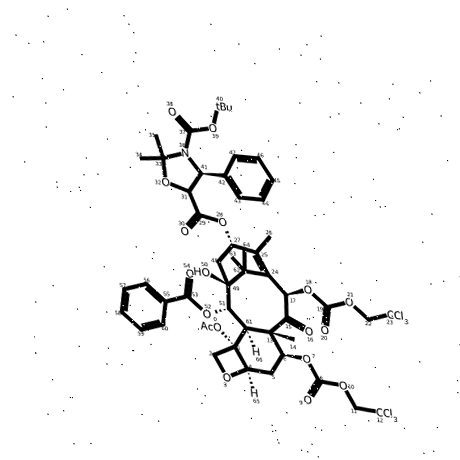 CC(=O)O[C@@]12CO[C@@H]1C[C@H](OC(=O)OCC(Cl)(Cl)Cl)[C@@]1(C)C(=O)[C@H](OC(=O)OCC(Cl)(Cl)Cl)C3=C(C)[C@@H](OC(=O)C4OC(C)(C)N(C(=O)OC(C)(C)C)[C@H]4c4ccccc4)C[C@@](O)([C@@H](OC(=O)c4ccccc4)[C@H]21)C3(C)C